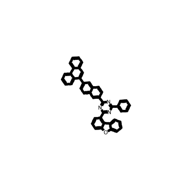 c1ccc(-c2nc(-c3ccc4cc(-c5cc6ccccc6c6ccccc56)ccc4c3)nc(-c3cccc4oc5ccccc5c34)n2)cc1